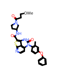 COCCC(=O)N1CCC(NC(=O)c2sc3nccc4c3c2NC(=O)N4c2ccc(Oc3ccccc3)cc2C)C1